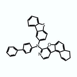 C1=Cc2c(ccc3oc4c(N(c5ccc(-c6ccccc6)cc5)c5ccc6sc7ccccc7c6c5)nccc4c23)CC1